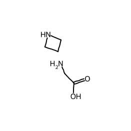 C1CNC1.NCC(=O)O